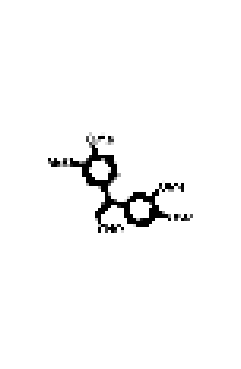 COc1ccc(C(=CC=O)c2ccc(OC)c(OC)c2)cc1OC